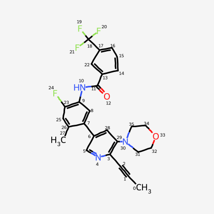 CC#Cc1ncc(-c2cc(NC(=O)c3cccc(C(F)(F)F)c3)c(F)cc2C)cc1N1CCOCC1